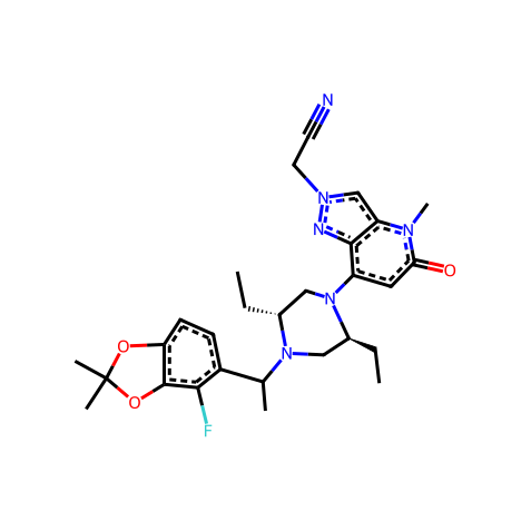 CC[C@H]1CN(C(C)c2ccc3c(c2F)OC(C)(C)O3)[C@H](CC)CN1c1cc(=O)n(C)c2cn(CC#N)nc12